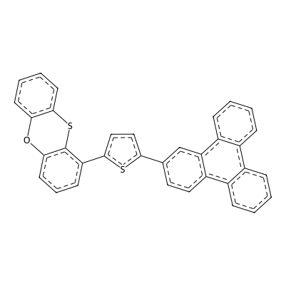 c1ccc2c(c1)Oc1cccc(-c3ccc(-c4ccc5c6ccccc6c6ccccc6c5c4)s3)c1S2